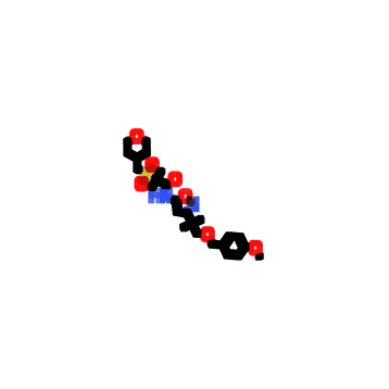 COc1ccc(COCC(C)(C)c2cc(NC(=O)C(C)(C)S(=O)(=O)CC3CCOCC3)on2)cc1